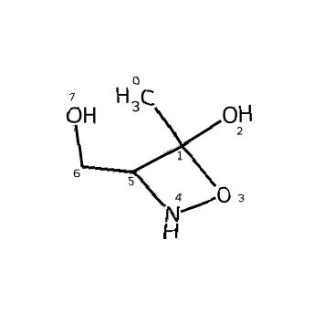 CC1(O)ONC1CO